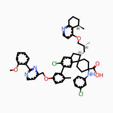 COc1ccccc1-c1nccc(COc2ccc(C)c(-c3cc4c(cc3Cl)C[C@H](C[C@@H](C)COc3ccnc5c3[C@H](C)CCC5)C43CCC(Nc4cccc(Cl)c4)(C(=O)O)CC3)c2)n1